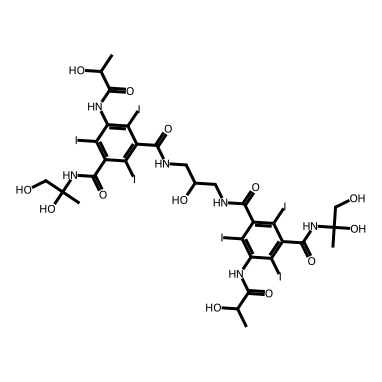 CC(O)C(=O)Nc1c(I)c(C(=O)NCC(O)CNC(=O)c2c(I)c(NC(=O)C(C)O)c(I)c(C(=O)NC(C)(O)CO)c2I)c(I)c(C(=O)NC(C)(O)CO)c1I